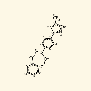 FC(F)(F)c1nc(-c2ccc(C3OCc4ccccc4CO3)cc2)no1